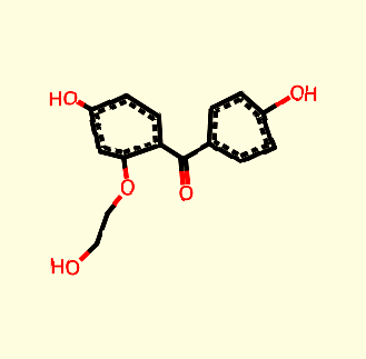 O=C(c1ccc(O)cc1)c1ccc(O)cc1OCCO